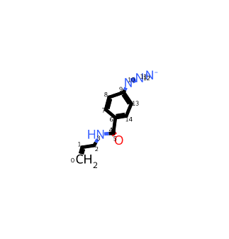 C=CCNC(=O)c1ccc(N=[N+]=[N-])cc1